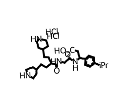 CC(C)c1ccc(C(CC(=O)O)NC(=O)CNC(=O)C(CCC2CCNCC2)CCC2CCNCC2)cc1.Cl.Cl